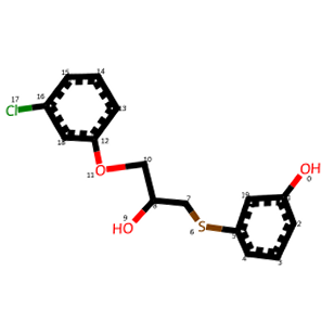 Oc1cccc(SCC(O)COc2cccc(Cl)c2)c1